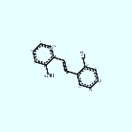 Oc1cccnc1/C=C/c1ccccc1Cl